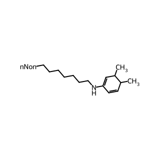 CCCCCCCCCCCCCCCCNC1=CC(C)C(C)C=C1